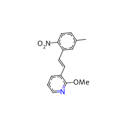 COc1ncccc1C=Cc1cc(C)ccc1[N+](=O)[O-]